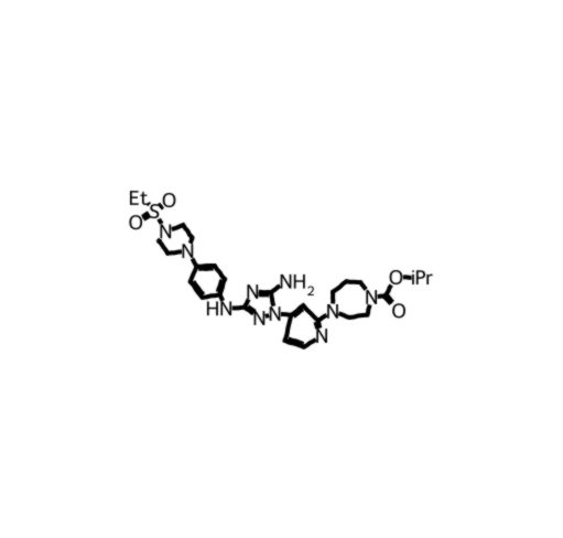 CCS(=O)(=O)N1CCN(c2ccc(Nc3nc(N)n(-c4ccnc(N5CCCN(C(=O)OC(C)C)CC5)c4)n3)cc2)CC1